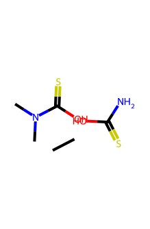 CC.CN(C)C(O)=S.NC(O)=S